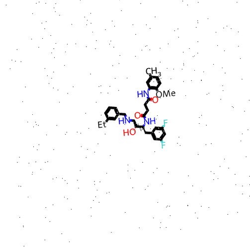 CCc1cccc(CNC[C@@H](O)[C@H](Cc2cc(F)cc(F)c2)NC(=O)CCC(=O)Nc2cc(C)ccc2OC)c1